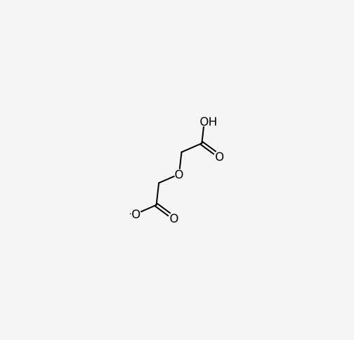 [O]C(=O)COCC(=O)O